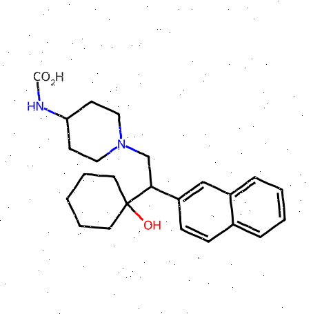 O=C(O)NC1CCN(CC(c2ccc3ccccc3c2)C2(O)CCCCC2)CC1